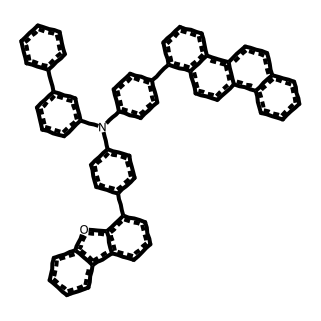 c1ccc(-c2cccc(N(c3ccc(-c4cccc5c4ccc4c6ccccc6ccc54)cc3)c3ccc(-c4cccc5c4oc4ccccc45)cc3)c2)cc1